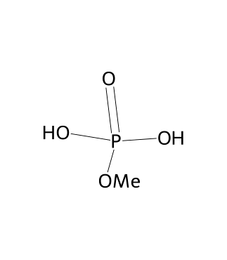 [CH]OP(=O)(O)O